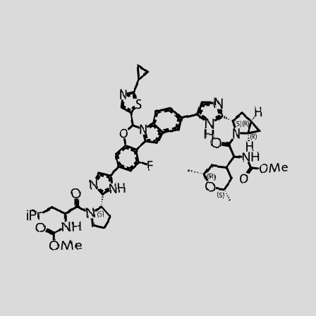 COC(=O)NC(CC(C)C)C(=O)N1CCC[C@H]1c1ncc(-c2cc(F)c3c(c2)OC(c2cnc(C4CC4)s2)n2c-3cc3cc(-c4cnc([C@@H]5C[C@H]6C[C@H]6N5C(=O)C(NC(=O)OC)C5C[C@@H](C)O[C@@H](C)C5)[nH]4)ccc32)[nH]1